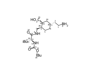 BCC[C@@H]1CC[C@@H](CNC(=O)[C@@H](NC(=O)OC(C)(C)C)[C@@H](C)CC)[C@@H](C(=O)O)C1